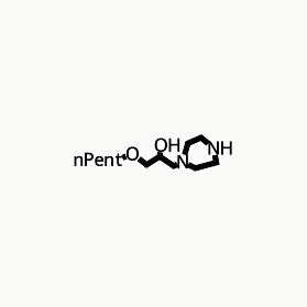 CCCCCOCC(O)CN1CCNCC1